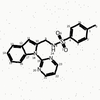 Cc1ccc(S(=O)(=O)NCc2cc3ccccc3n2-c2ncccn2)cc1